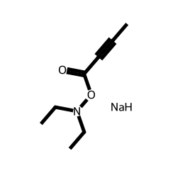 CC#CC(=O)ON(CC)CC.[NaH]